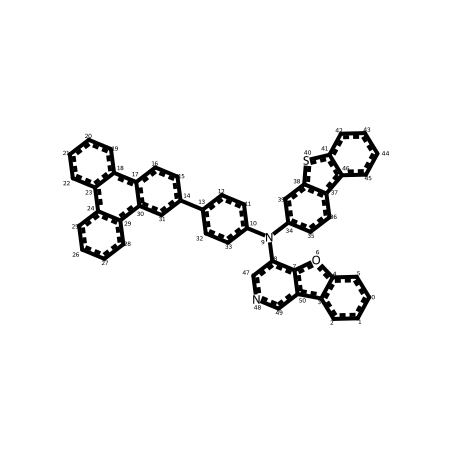 c1ccc2c(c1)oc1c(N(c3ccc(-c4ccc5c6ccccc6c6ccccc6c5c4)cc3)c3ccc4c(c3)sc3ccccc34)cncc12